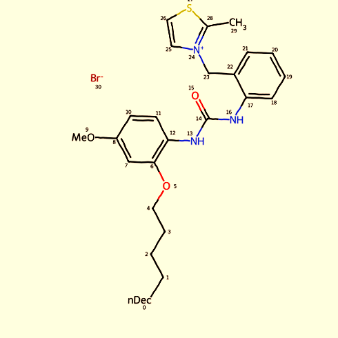 CCCCCCCCCCCCCCOc1cc(OC)ccc1NC(=O)Nc1ccccc1C[n+]1ccsc1C.[Br-]